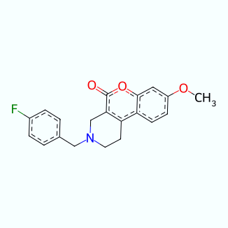 COc1ccc2c3c(c(=O)oc2c1)CN(Cc1ccc(F)cc1)CC3